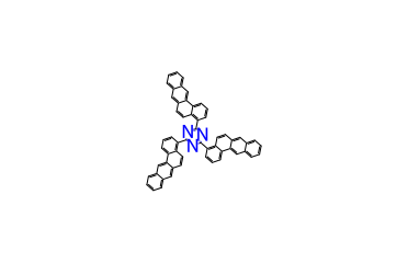 c1ccc2cc3c(ccc4c(-c5nc(-c6cccc7c6ccc6cc8ccccc8cc67)nc(-c6cccc7c6ccc6cc8ccccc8cc67)n5)cccc43)cc2c1